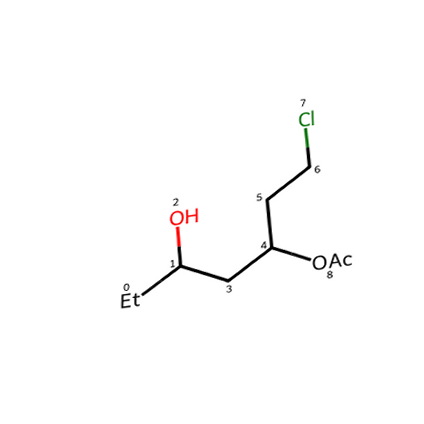 CCC(O)CC(CCCl)OC(C)=O